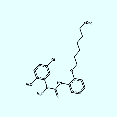 CCCCCCCCCCCCCCCCOc1ccccc1NC(=O)N(C)c1cc(O)ccc1OC(C)=O